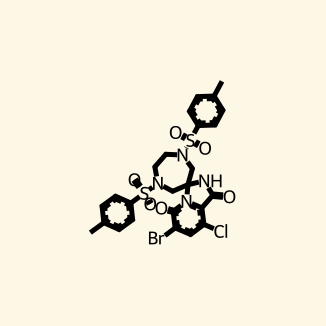 Cc1ccc(S(=O)(=O)N2CCN(S(=O)(=O)c3ccc(C)cc3)CC3(C2)NC(=O)c2c(Cl)cc(Br)c(=O)n23)cc1